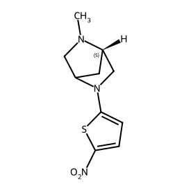 CN1CC2C[C@H]1CN2c1ccc([N+](=O)[O-])s1